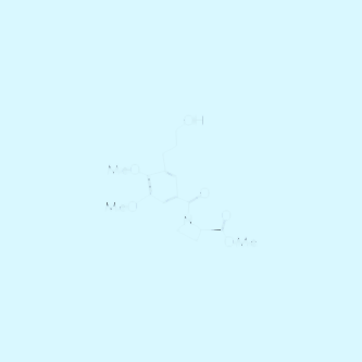 COC(=O)[C@H]1CCN1C(=O)c1cc(CCCO)c(OC)c(OC)c1